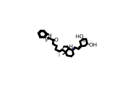 C[C@H](CCCC(=O)c1nc2ccccc2s1)[C@H]1CC[C@H]2/C(=C/C=C3C[C@@H](O)C[C@H](O)C3)CCC[C@]12C